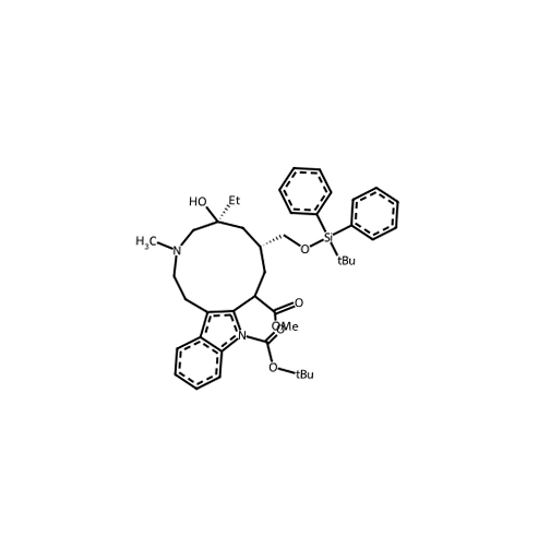 CC[C@]1(O)C[C@H](CO[Si](c2ccccc2)(c2ccccc2)C(C)(C)C)CC(C(=O)OC)c2c(c3ccccc3n2C(=O)OC(C)(C)C)CCN(C)C1